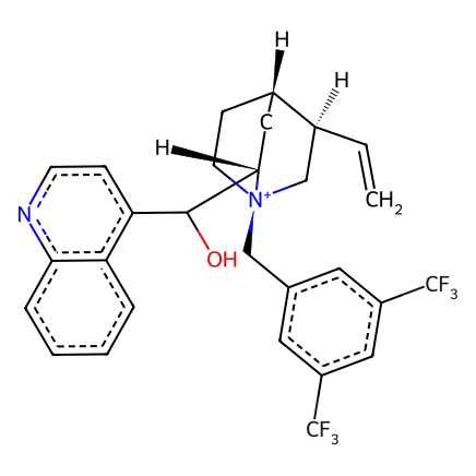 C=C[C@H]1C[N@+]2(Cc3cc(C(F)(F)F)cc(C(F)(F)F)c3)CC[C@H]1C[C@H]2C(O)c1ccnc2ccccc12